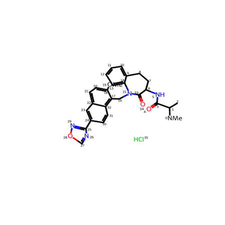 CNC(C)C(=O)NC1CCc2ccccc2N(Cc2c(OC)ccc3cc(-c4ncon4)ccc23)C1=O.Cl